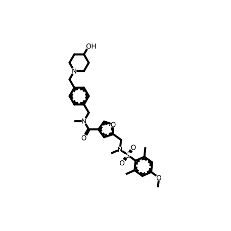 COc1cc(C)c(S(=O)(=O)N(C)Cc2cc(C(=O)N(C)Cc3ccc(CN4CCC(O)CC4)cc3)co2)c(C)c1